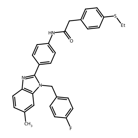 CCSc1ccc(CC(=O)Nc2ccc(-c3nc4ccc(C)cc4n3Cc3ccc(F)cc3)cc2)cc1